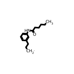 [CH2]CCc1cccc(NC(=O)CCCCC)c1